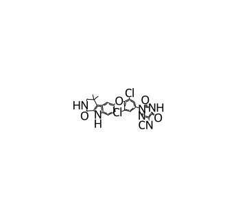 CC1(C)CNC(=O)c2[nH]c3ccc(Oc4c(Cl)cc(-n5nc(C#N)c(=O)[nH]c5=O)cc4Cl)cc3c21